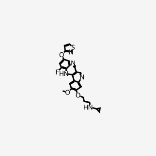 COc1cc2c(Nc3ccc(Oc4ccsn4)cc3F)c(C#N)cnc2cc1OCCCNC1CC1